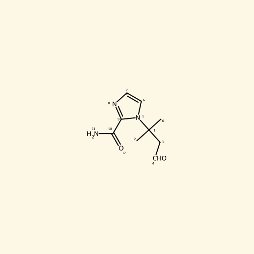 CC(C)(CC=O)n1c[c]nc1C(N)=O